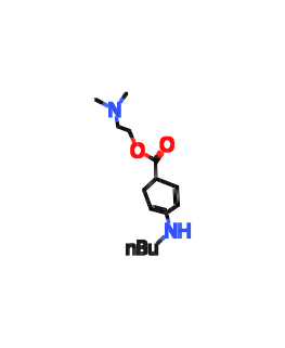 CCCCNC1=CCC(C(=O)OCCN(C)C)C=C1